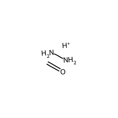 C=O.NN.[H+]